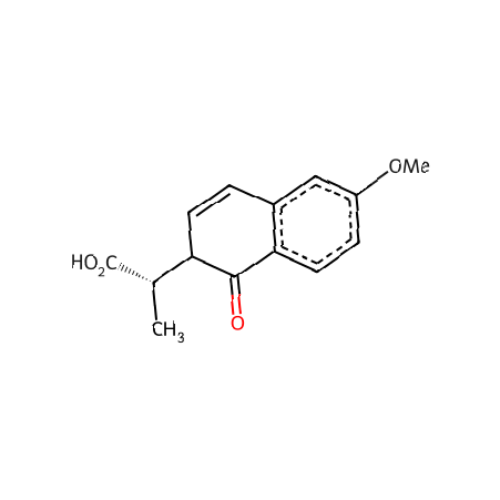 COc1ccc2c(c1)C=CC([C@H](C)C(=O)O)C2=O